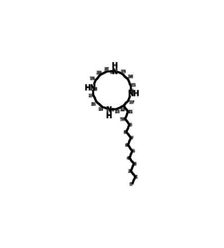 CCCCCCCCCCCCC1CNCCCNCCCNCCCNC1